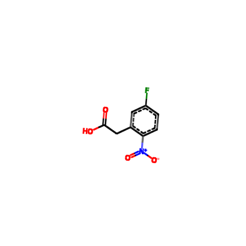 O=C(O)Cc1cc(F)ccc1[N+](=O)[O-]